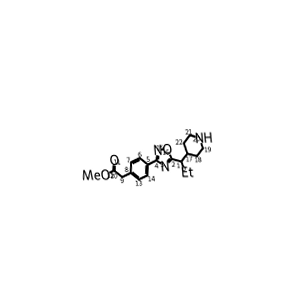 CCC(c1nc(-c2ccc(CC(=O)OC)cc2)no1)C1CCNCC1